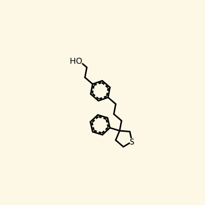 OCCc1ccc(CCCC2(c3ccccc3)CCSC2)cc1